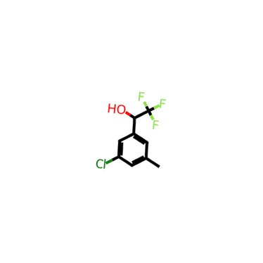 Cc1cc(Cl)cc(C(O)C(F)(F)F)c1